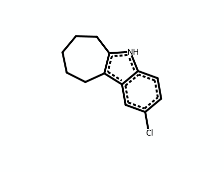 Clc1ccc2[nH]c3c(c2c1)CCCCC3